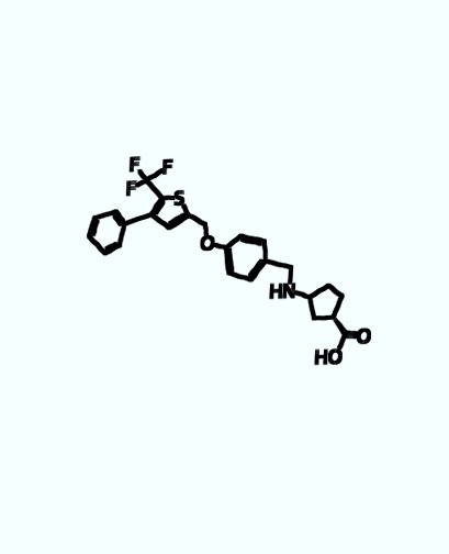 O=C(O)[C@@H]1CCC(NCc2ccc(OCc3cc(-c4ccccc4)c(C(F)(F)F)s3)cc2)C1